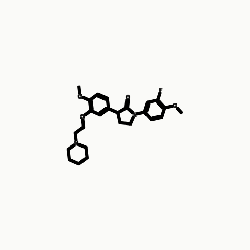 COc1ccc(N2CCC(c3ccc(OC)c(OCCN4CCCCC4)c3)C2=O)cc1F